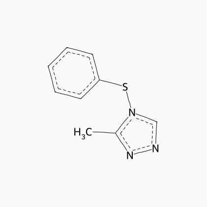 Cc1nncn1Sc1ccccc1